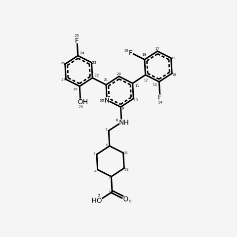 O=C(O)C1CCC(CNc2cc(-c3c(F)cccc3F)cc(-c3cc(F)ccc3O)n2)CC1